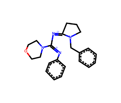 c1ccc(CN2CCC/C2=N/C(=N/c2ccccc2)N2CCOCC2)cc1